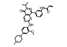 C=CC(=O)Nc1cccc(-c2nn(C(C)C)c(=O)c3cnc(Nc4ccc(N5CCN(C)CC5)cc4OC)nc23)c1